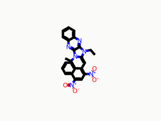 CCN1C(=Cc2c([N+](=O)[O-])cc([N+](=O)[O-])c3ccccc23)N(CC)c2nc3ccccc3nc21